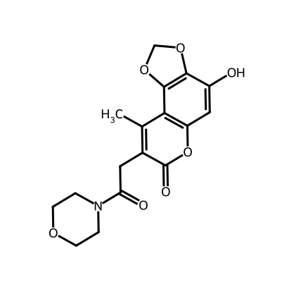 Cc1c(CC(=O)N2CCOCC2)c(=O)oc2cc(O)c3c(c12)OCO3